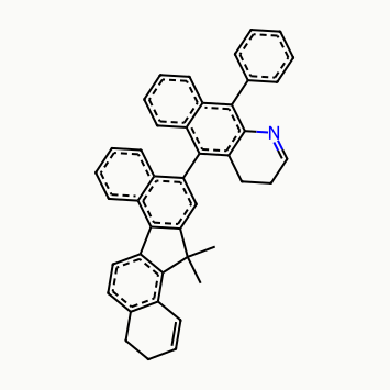 CC1(C)c2cc(-c3c4c(c(-c5ccccc5)c5ccccc35)N=CCC4)c3ccccc3c2-c2ccc3c(c21)C=CCC3